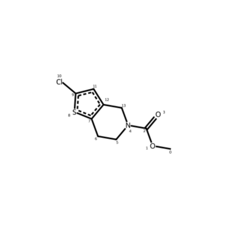 COC(=O)N1CCc2sc(Cl)cc2C1